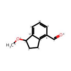 COC1CCc2c(C=O)cccc21